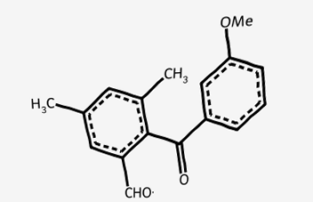 COc1cccc(C(=O)c2c(C)cc(C)cc2[C]=O)c1